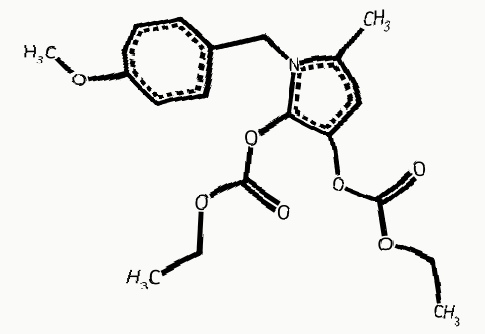 CCOC(=O)Oc1cc(C)n(Cc2ccc(OC)cc2)c1OC(=O)OCC